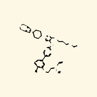 CCOCCCOc1nn([C@H]2CC[C@H](N3C4CC[C@@H]3COC4)CC2)cc1Nc1ncc(-c2ccc(C#N)c(O[C@@H](C)CN(C=N)N=N)c2)cn1